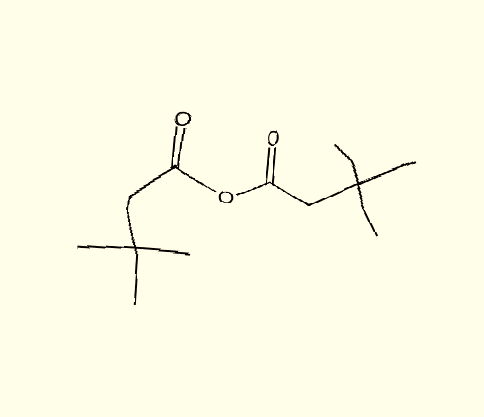 CC(C)(C)CC(=O)OC(=O)CC(C)(C)C